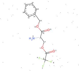 N[C@@H](COC(=O)C(F)(F)F)C(=O)OCc1ccccc1